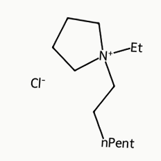 CCCCCCC[N+]1(CC)CCCC1.[Cl-]